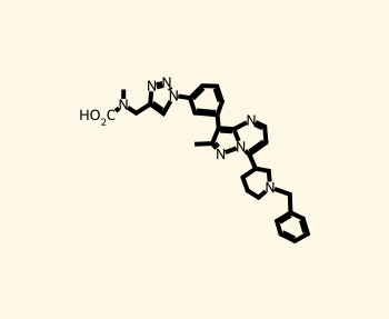 Cc1nn2c(C3CCCN(Cc4ccccc4)C3)ccnc2c1-c1cccc(-n2cc(CN(C)C(=O)O)nn2)c1